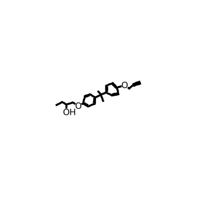 C#CCOc1ccc(C(C)(C)c2ccc(OCC(O)CC)cc2)cc1